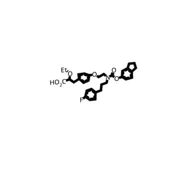 CCOC(Cc1ccc(OCCN(CCCc2ccc(F)cc2)C(=O)Oc2ccc3c(c2)CCC3)cc1)C(=O)O